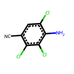 N#Cc1cc(Cl)c(N)c(Cl)c1Cl